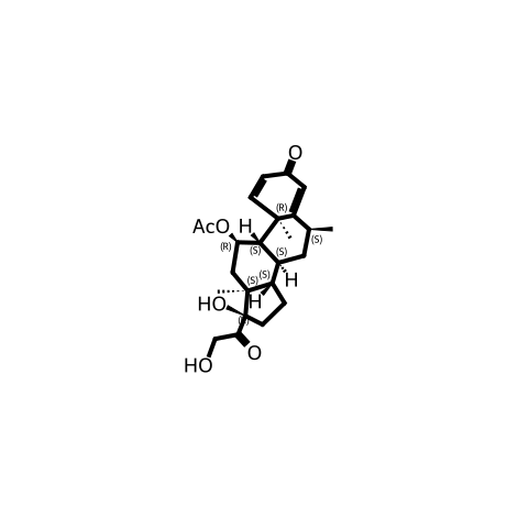 CC(=O)O[C@@H]1C[C@@]2(C)[C@@H](CC[C@]2(O)C(=O)CO)[C@@H]2C[C@H](C)C3=CC(=O)C=C[C@]3(C)[C@H]21